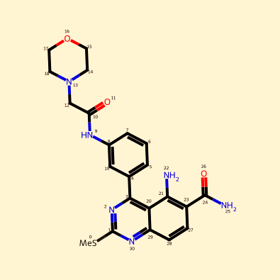 CSc1nc(-c2cccc(NC(=O)CN3CCOCC3)c2)c2c(N)c(C(N)=O)ccc2n1